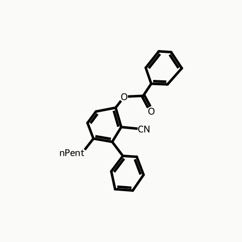 CCCCCc1ccc(OC(=O)c2ccccc2)c(C#N)c1-c1ccccc1